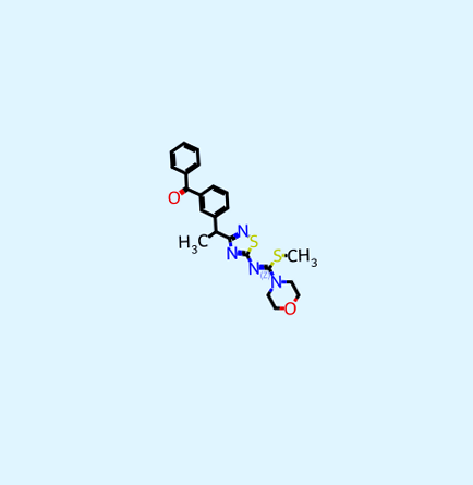 CS/C(=N\c1nc(C(C)c2cccc(C(=O)c3ccccc3)c2)ns1)N1CCOCC1